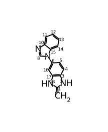 C=C1Nc2ccc(-n3cnc4ccccc43)cc2N1